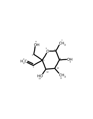 C=CC1(CO)OC(C)C(O)C(C)C1O